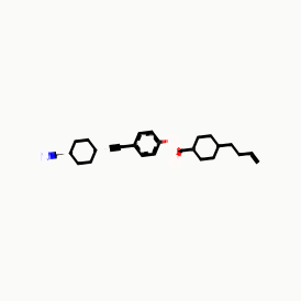 C=CCCC1CCC(C(=O)Oc2ccc(C#C[C@H]3CC[C@H](C#N)CC3)cc2)CC1